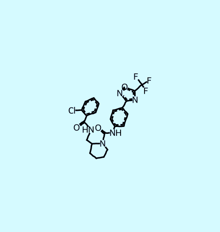 O=C(NCC1CCCCN1C(=O)Nc1ccc(-c2noc(C(F)(F)F)n2)cc1)c1ccccc1Cl